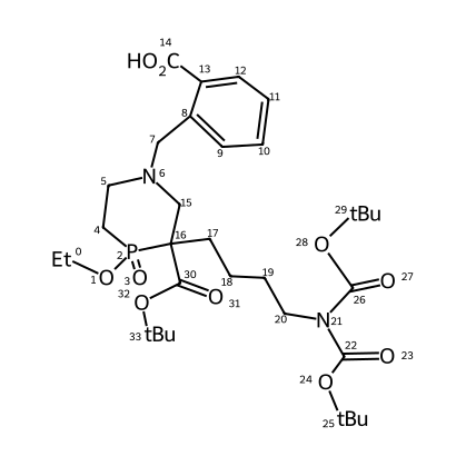 CCOP1(=O)CCN(Cc2ccccc2C(=O)O)CC1(CCCCN(C(=O)OC(C)(C)C)C(=O)OC(C)(C)C)C(=O)OC(C)(C)C